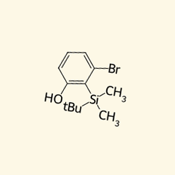 CC(C)(C)[Si](C)(C)c1c(O)cccc1Br